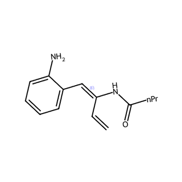 C=C/C(=C\c1ccccc1N)NC(=O)CCC